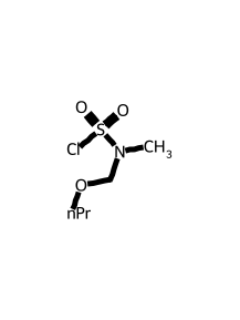 CCCOCN(C)S(=O)(=O)Cl